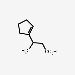 CC(CC(=O)O)C1=CCCC1